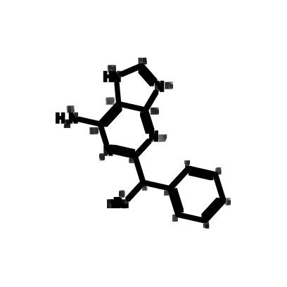 CCCCC(c1ccccc1)c1nc(N)c2[nH]cnc2n1